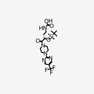 CC(C)(C)[Si](C)(C)O[C@@H](CCNC(=O)O)C(=O)N1CCN(c2ncc(C(F)(F)F)cn2)CC1